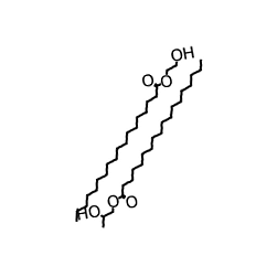 CCCCCCCCCCCCCCCCCC(=O)OCC(C)O.CCCCCCCCCCCCCCCCCC(=O)OCCO